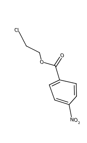 O=C(OCCCl)c1ccc([N+](=O)[O-])cc1